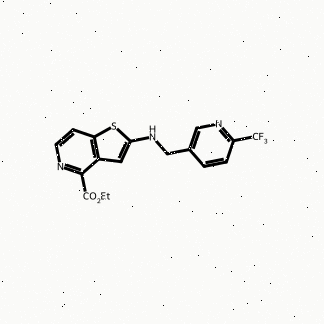 CCOC(=O)c1nccc2sc(NCc3ccc(C(F)(F)F)nc3)cc12